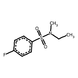 CCN(C)S(=O)(=O)c1ccc(F)cc1